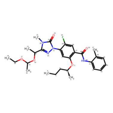 CCC[C@H](C)Oc1cc(-n2nc(C(C)OC(C)OCC)n(C)c2=O)c(F)cc1C(=O)Nc1ccccc1C